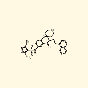 Cc1noc(C)c1S(=O)(=O)Nc1ccc2c(c1)C(=O)C(CCc1cccc3ccccc13)C1(CCNCC1)O2